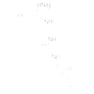 O=C(CCNCc1ccc(-c2ccccc2)c(Cl)c1)NCCCNc1cc(C2CCOC2)cc2[nH]ncc12